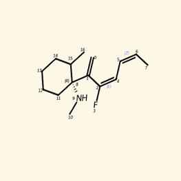 C=C(/C(F)=C\C=C/C)[C@@]1(NC)CCCCC1C